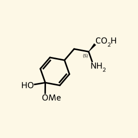 COC1(O)C=CC(C[C@H](N)C(=O)O)C=C1